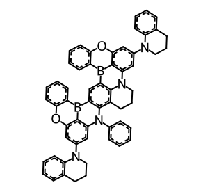 c1ccc(N2c3cc(N4CCCc5ccccc54)cc4c3B(c3ccccc3O4)c3cc4c5c(c32)CCCN5c2cc(N3CCCc5ccccc53)cc3c2B4c2ccccc2O3)cc1